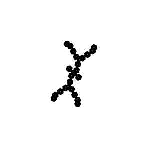 c1ccc(-c2c3ccc(-c4ccc(-n5c6ccc(-c7ccc(-c8ccc9ccccc9c8)cc7)cc6c6cc(-c7ccc(-c8ccc9ccccc9c8)cc7)ccc65)cc4)cc3c(-c3ccccc3)c3ccc(-c4ccc(-n5c6ccc(-c7ccc(-c8ccc9ccccc9c8)cc7)cc6c6cc(-c7ccc(-c8ccc9ccccc9c8)cc7)ccc65)cc4)cc23)cc1